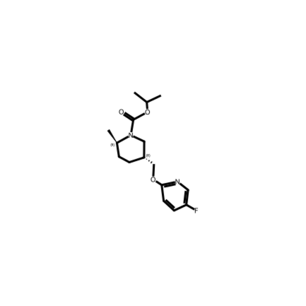 CC(C)OC(=O)N1C[C@H](COc2ccc(F)cn2)CC[C@H]1C